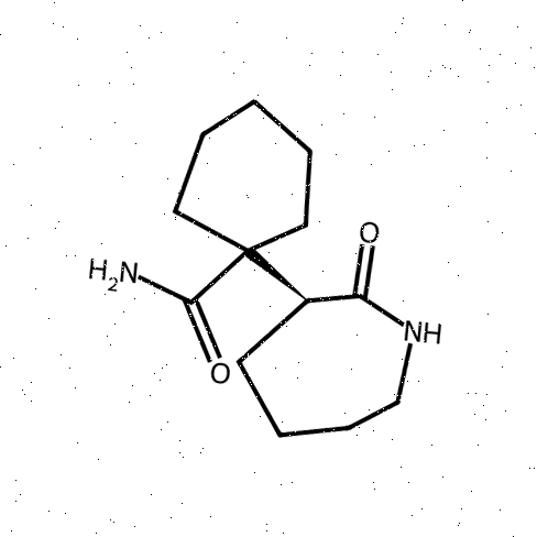 NC(=O)C1([C@@H]2CCCCNC2=O)CCCCC1